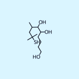 CC(CC(C)(C)S)C(O)C(O)CCCCO